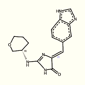 O=C1NC(N[C@H]2CCCOC2)=N/C1=C\c1ccc2[nH]cnc2c1